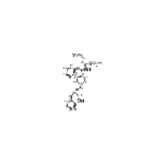 CSCC[C@H](NC(=O)c1ccc(CSC(CO)Cc2ccccc2)cc1-c1ccccc1)C(=O)O